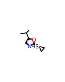 CC(C)c1cnc([SiH]2CC2)o1